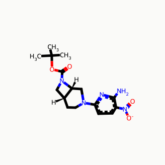 CC(C)(C)OC(=O)N1C[C@H]2CCN(c3ccc([N+](=O)[O-])c(N)n3)C[C@H]21